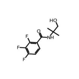 CC(C)(CO)NC(=O)c1ccc(F)c(F)c1F